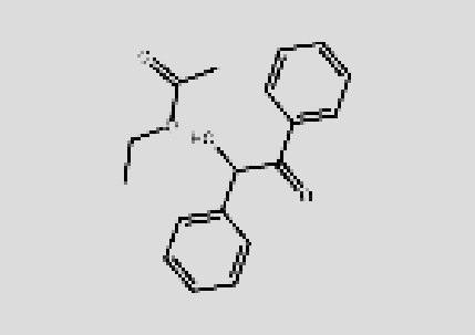 CCOC(C)=O.O=C(c1ccccc1)C(O)c1ccccc1